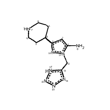 Nc1cc(C2CCNCC2)nn1Cc1nnn[nH]1